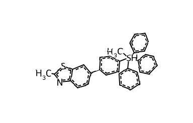 Cc1nc2ccc(-c3ccc([SH](C)(c4ccccc4)(c4ccccc4)c4ccccc4)cc3)cc2s1